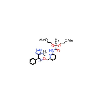 COCCOC(C)(OCCOC)C(=O)Nc1cccc(CO/N=C(/c2ccccc2)c2nnnn2C)n1